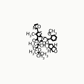 COc1ccccc1[C@H](Cn1c(=O)n(C(C)(C)C(=O)OC(C)(C)C)c(=O)c2c(C)c(-c3ncco3)sc21)O[C@H]1C[C@H]2COC[C@H]2C1